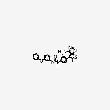 Cc1sc2ncnc(N)c2c1-c1ccc(NC(=O)Nc2cccc(Oc3ccccc3)c2)cc1